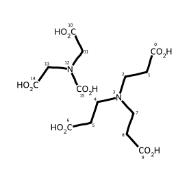 O=C(O)CCN(CCC(=O)O)CCC(=O)O.O=C(O)CN(CC(=O)O)C(=O)O